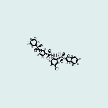 O=S(=O)(Nc1ccc(Cl)cc1NS(=O)(=O)c1cc2ccccc2o1)c1ccn(S(=O)(=O)c2ccccc2)c1